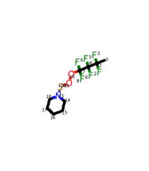 CC(F)(F)C(F)(F)C(F)(F)OOSN1CCCCC1